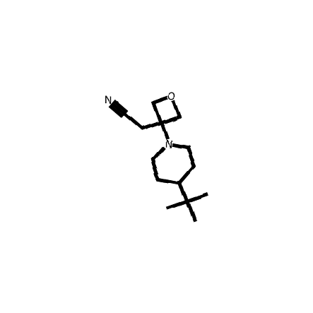 CC(C)(C)C1CCN(C2(CC#N)COC2)CC1